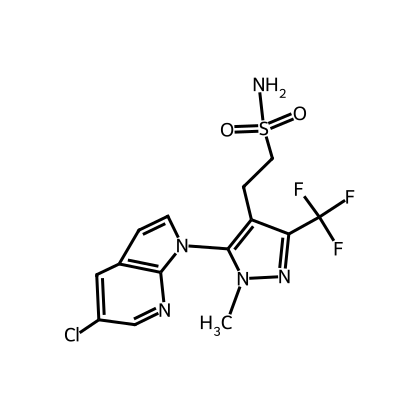 Cn1nc(C(F)(F)F)c(CCS(N)(=O)=O)c1-n1ccc2cc(Cl)cnc21